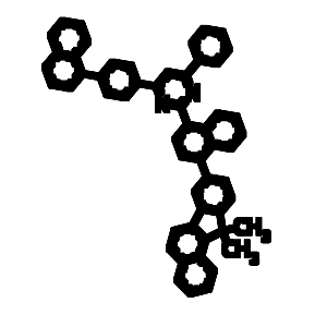 CC1(C)c2ccc(-c3ccc(-c4nc(-c5ccccc5)cc(-c5ccc(-c6cccc7ccccc67)cc5)n4)c4ccccc34)cc2-c2ccc3ccccc3c21